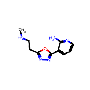 CNCCc1nnc(-c2cccnc2N)o1